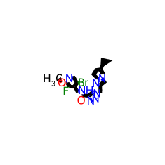 COc1ncc(Br)c(CNC(=O)c2cn(Cc3cn4cc(C5CC5)ccc4n3)nn2)c1F